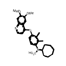 COc1cc2nccc(Oc3ccc(N(C(=O)O)C4CCCCCC4)c(C)c3C)c2cc1OC